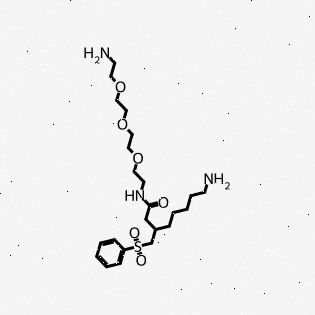 NCCCCCC(CC(=O)NCCOCCOCCOCCN)CS(=O)(=O)c1ccccc1